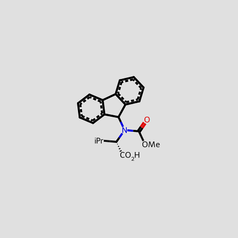 COC(=O)N(C1c2ccccc2-c2ccccc21)[C@H](C(=O)O)C(C)C